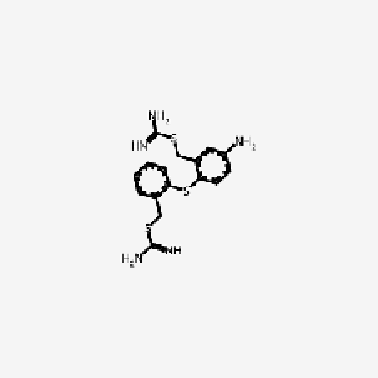 N=C(N)SCc1ccccc1Sc1ccc(N)cc1CSC(=N)N